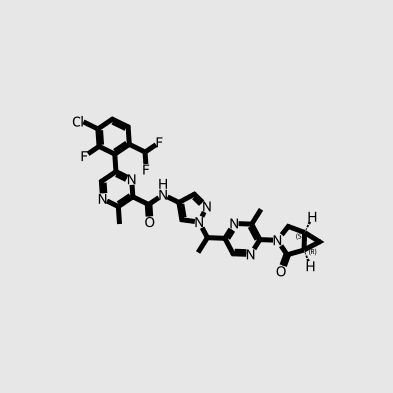 Cc1ncc(-c2c(C(F)F)ccc(Cl)c2F)nc1C(=O)Nc1cnn(C(C)c2cnc(N3C[C@H]4C[C@H]4C3=O)c(C)n2)c1